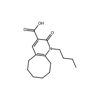 CCCCn1c2c(cc(C(=O)O)c1=O)CCCCCC2